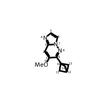 COc1cc2nccn2nc1C12CC(C1)C2